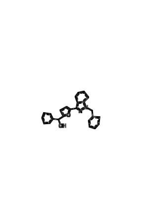 OC(c1ccccc1)c1ccc(-c2nn(Cc3ccccc3)c3ccccc23)o1